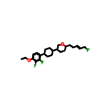 CCOc1ccc(C2CCC(C3CCC(CCC=CCF)OC3)CC2)c(F)c1F